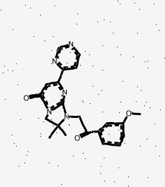 COc1cccc(C(=O)CN2c3nc(-c4ccncn4)cc(=O)n3CC2(C)C)c1